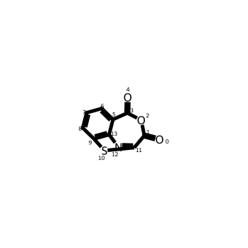 O=c1oc(=O)c2cccc3sc1nc32